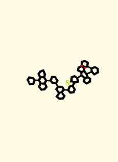 c1ccc(-c2ccccc2-c2c3ccccc3c(-c3ccc4sc5c(-c6cc(-c7cccc(-c8c9ccccc9c(-c9ccccc9)c9ccccc89)c7)cc7ccccc67)cccc5c4c3)c3ccccc23)cc1